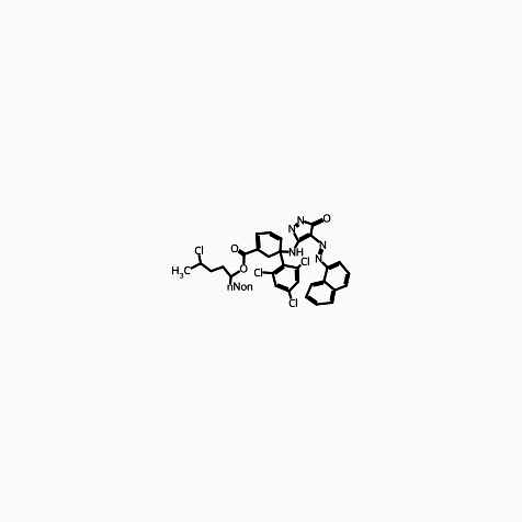 CCCCCCCCCC(CCC(C)Cl)OC(=O)C1=CC=CC(NC2=C(N=Nc3cccc4ccccc34)C(=O)N=N2)(c2c(Cl)cc(Cl)cc2Cl)C1